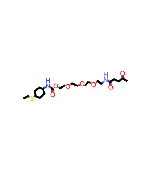 CCSC1CCC(NC(=O)OCCOCCOCCOCCNC(=O)CCC(C)=O)CC1